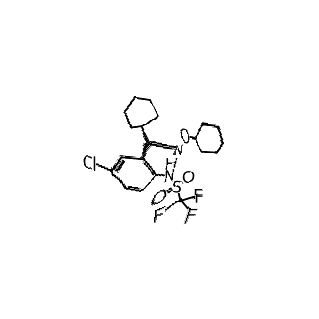 O=S(=O)(Nc1ccc(Cl)cc1/C(=N/OC1CCCCC1)C1CCCCC1)C(F)(F)F